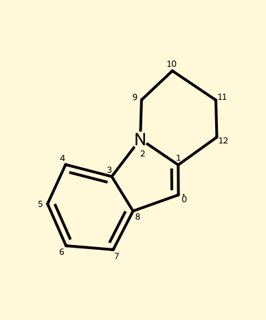 [c]1c2n(c3ccccc13)CCCC2